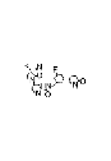 Cn1cc(-c2cc(F)cc(CNC(=O)c3cc(N4CC[C@@](C#N)(C5CC5)C4=O)ccn3)c2)ccc1=O